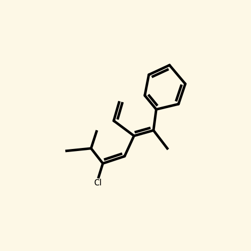 C=CC(/C=C(/Cl)C(C)C)=C(/C)c1ccccc1